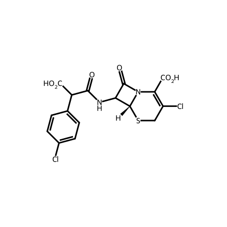 O=C(O)C1=C(Cl)CS[C@@H]2C(NC(=O)C(C(=O)O)c3ccc(Cl)cc3)C(=O)N12